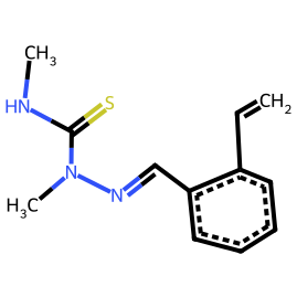 C=Cc1ccccc1/C=N/N(C)C(=S)NC